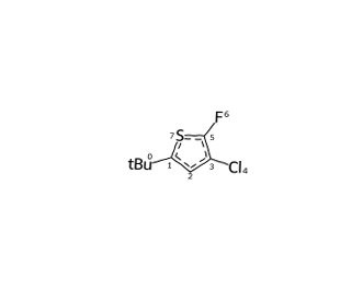 CC(C)(C)c1cc(Cl)c(F)s1